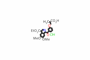 CCOC(=O)c1cnc(C(=O)c2cccc(OCC(C)C(=O)O)c2)c2cc(OC)c(OC)cc12.Cl